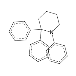 c1ccc(N2CCCCC2(c2ccccc2)c2ccccc2)cc1